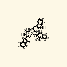 CC1=C(C(=O)NC(C)C(=O)NC(Cc2c[nH]c3ccccc23)C(=O)NC(CC2CCCC2)C(=O)C2(C)CO2)Cc2ccccc21